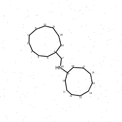 C1CCCCCC(CNC2CCCCCCCCC2)CCCC1